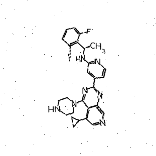 C[C@@H](Nc1cc(-c2nc(N3CCNCC3)c3c(C4CC4)cncc3n2)ccn1)c1c(F)cccc1F